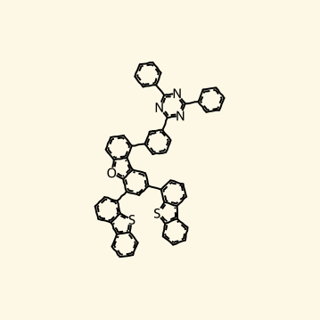 c1ccc(-c2nc(-c3ccccc3)nc(-c3cccc(-c4cccc5oc6c(-c7cccc8c7sc7ccccc78)cc(-c7cccc8c7sc7ccccc78)cc6c45)c3)n2)cc1